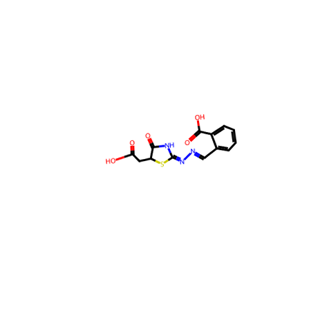 O=C(O)CC1S/C(=N/N=C/c2ccccc2C(=O)O)NC1=O